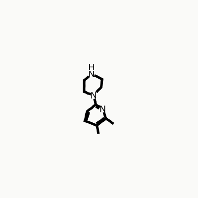 Cc1ccc(N2CCNCC2)nc1C